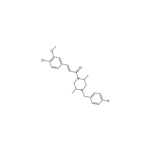 COc1cc(C=CC(=O)N2CC(C)N(Cc3ccc(F)cc3)CC2C)ccc1Cl